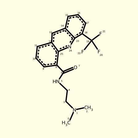 CN(C)CCNC(=O)c1cccc2cc3cccc(C(F)(F)F)c3nc12